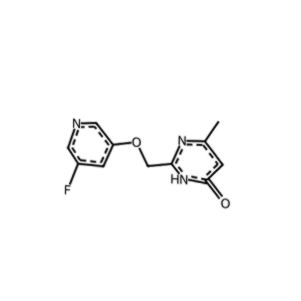 Cc1cc(=O)[nH]c(COc2cncc(F)c2)n1